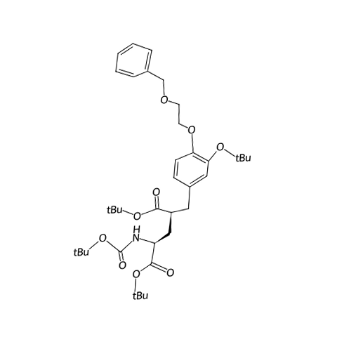 CC(C)(C)OC(=O)N[C@@H](C[C@H](Cc1ccc(OCCOCc2ccccc2)c(OC(C)(C)C)c1)C(=O)OC(C)(C)C)C(=O)OC(C)(C)C